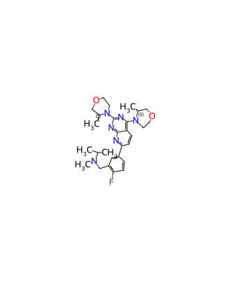 CC(C)N(C)Cc1cc(-c2ccc3c(N4CCOC[C@@H]4C)nc(N4CCOC[C@@H]4C)nc3n2)ccc1F